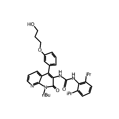 CCCCn1c(=O)c(NC(=O)Nc2c(C(C)C)cccc2C(C)C)c(-c2cccc(OCCCO)c2)c2cccnc21